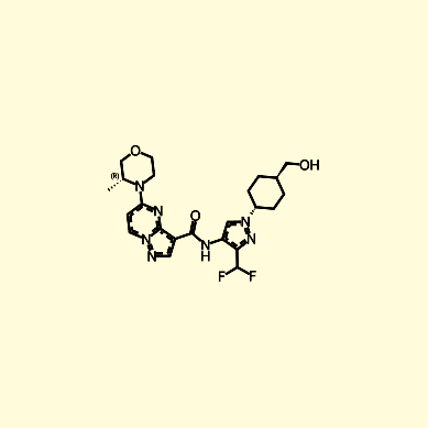 C[C@@H]1COCCN1c1ccn2ncc(C(=O)Nc3cn([C@H]4CC[C@H](CO)CC4)nc3C(F)F)c2n1